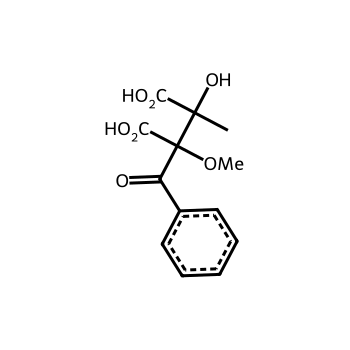 COC(C(=O)O)(C(=O)c1ccccc1)C(C)(O)C(=O)O